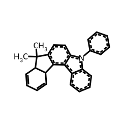 CC1(C)c2ccc3c(c2C2C=CC=CC21)c1ccccc1n3-c1ccccc1